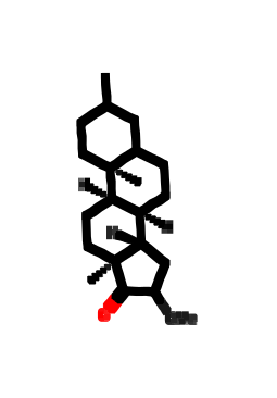 COC1C[C@H]2[C@@H]3CCC4CC(C)CC[C@]4(C)[C@@H]3CC[C@]2(C)C1=O